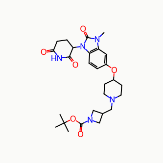 Cn1c(=O)n(C2CCC(=O)NC2=O)c2ccc(OC3CCN(CC4CN(C(=O)OC(C)(C)C)C4)CC3)cc21